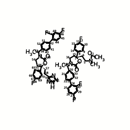 CC(=O)N(C)CC[C@]1(c2ccc(F)cc2)CCN([C@@H](C)c2ccc(-c3ccc(F)cc3F)cc2)C(=O)O1.C[C@@H](c1ccc(-c2ccc(F)cc2F)cc1)N1CC[C@](CCc2nn[nH]n2)(c2ccc(F)cc2)OC1=O